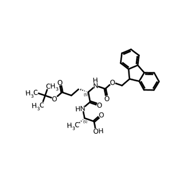 C[C@H](NC(=O)[C@H](CCC(=O)OC(C)(C)C)NC(=O)OCC1c2ccccc2-c2ccccc21)C(=O)O